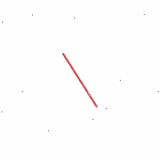 CCCCCCCCCCCCCCCCCCCCCCCCCCCCCCCCCCCCCCCCCCCCCCCCCCCCCCCCCCCCCCCCCCCCCCCCCCCCCCCCCCC